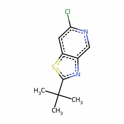 CC(C)(C)c1nc2cnc(Cl)cc2s1